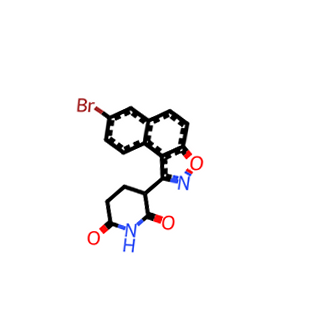 O=C1CCC(c2noc3ccc4cc(Br)ccc4c23)C(=O)N1